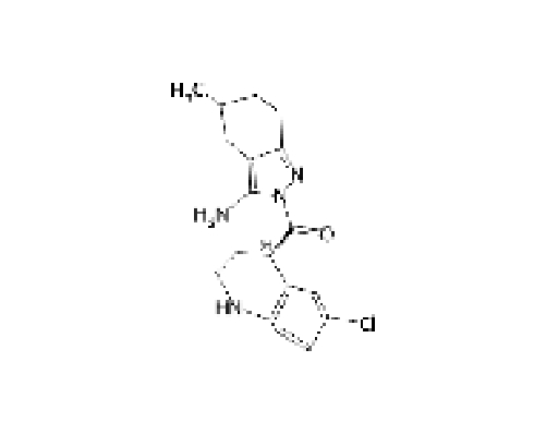 CC1CCc2nn(C(=O)[C@@H]3CCNc4ccc(Cl)cc43)c(N)c2C1